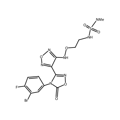 CNS(=O)(=O)NCCONc1nonc1-c1noc(=O)n1-c1ccc(F)c(Br)c1